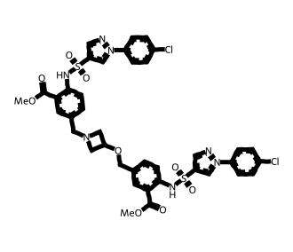 COC(=O)c1cc(COC2CN(Cc3ccc(NS(=O)(=O)c4cnn(-c5ccc(Cl)cc5)c4)c(C(=O)OC)c3)C2)ccc1NS(=O)(=O)c1cnn(-c2ccc(Cl)cc2)c1